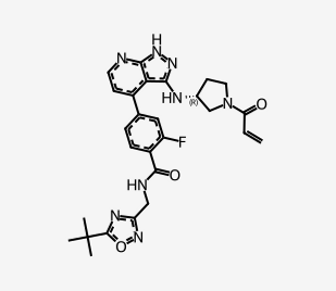 C=CC(=O)N1CC[C@@H](Nc2n[nH]c3nccc(-c4ccc(C(=O)NCc5noc(C(C)(C)C)n5)c(F)c4)c23)C1